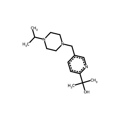 CC(C)N1CCN(Cc2ccc(C(C)(C)O)nc2)CC1